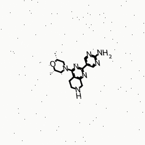 C[C@@H]1CN(c2nc(-c3cnc(N)nc3)nc3c2CCNC3)C[C@H](C)O1